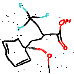 CO[C@]1(C(C(=O)O)C(F)(F)F)C=CC=CC1